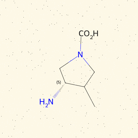 CC1CN(C(=O)O)C[C@H]1N